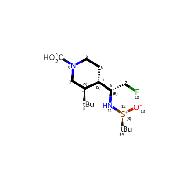 CC(C)(C)[C@H]1CN(C(=O)O)CC[C@@H]1[C@H](CF)N[S@@+]([O-])C(C)(C)C